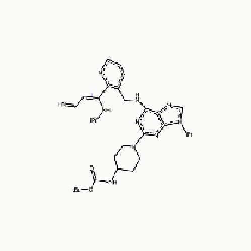 CC(C)N/C(=C\C=N)c1ncccc1CNc1nc(N2CCC(NC(=O)OC(C)(C)C)CC2)nc2c1ncn2C(C)C